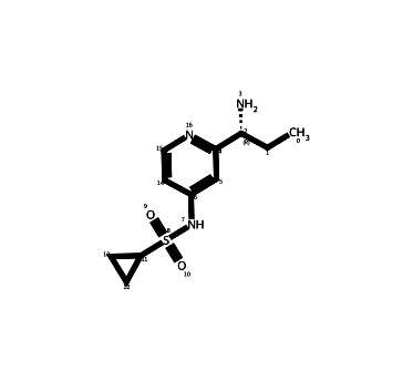 CC[C@@H](N)c1cc(NS(=O)(=O)C2CC2)ccn1